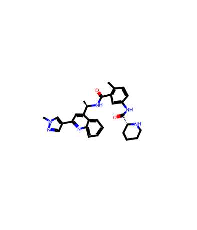 Cc1ccc(NC(=O)[C@H]2CCCCN2)cc1C(=O)N[C@H](C)c1cc(-c2cnn(C)c2)nc2ccccc12